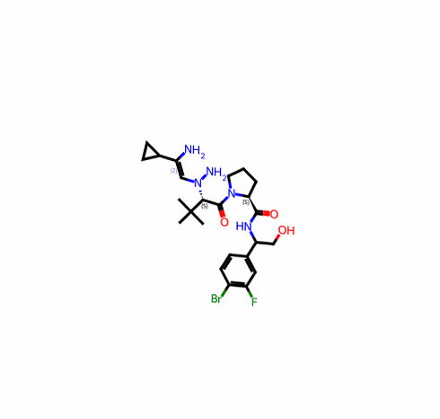 CC(C)(C)[C@@H](C(=O)N1CCC[C@H]1C(=O)NC(CO)c1ccc(Br)c(F)c1)N(N)/C=C(\N)C1CC1